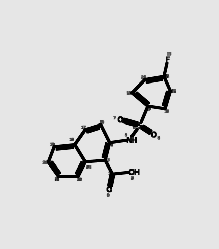 O=C(O)c1c(NS(=O)(=O)c2ccc(F)cc2)ccc2ccccc12